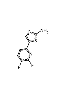 Nc1ncc(-c2ccc(F)c(F)n2)s1